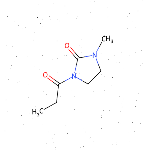 CCC(=O)N1CCN(C)C1=O